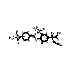 CS(=O)(=O)c1cc(C(F)(N=[N+]=[N-])C(F)F)ccc1OCC1CCN(S(C)(=O)=O)CC1